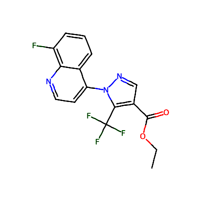 CCOC(=O)c1cnn(-c2ccnc3c(F)cccc23)c1C(F)(F)F